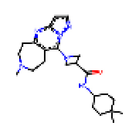 CN1CCc2nc3ccnn3c(N3CC(C(=O)NC4CCC(C)(C)CC4)C3)c2CC1